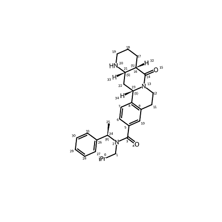 CC(C)CN(C(=O)c1ccc2c(c1)CCN1C(=O)[C@H]3CCCN[C@H]3C[C@@H]21)[C@H](C)c1ccccc1